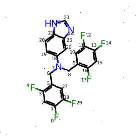 Fc1cc(F)c(CN(Cc2cc(F)c(F)cc2F)c2ccc3[nH]cnc3c2)cc1F